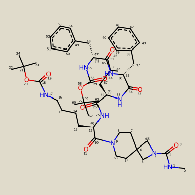 CNC(=O)N1CC2(CCN(C(=O)[C@@H](CCCCNC(=O)OC(C)(C)C)NC(=O)[C@@H](CC(C)C)NC(=O)[C@@H](Cc3ccccc3)NC(=O)[C@@H](Cc3ccccc3)NC(=O)OC(C)(C)C)CC2)C1